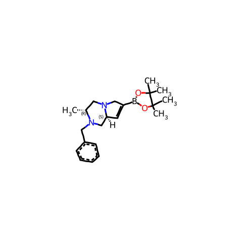 C[C@@H]1CN2CC(B3OC(C)(C)C(C)(C)O3)=C[C@H]2CN1Cc1ccccc1